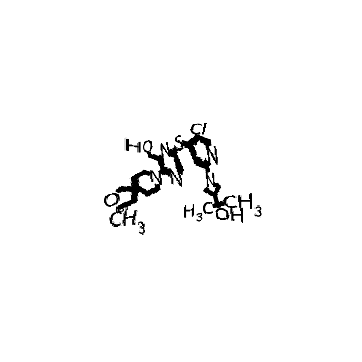 C[C@H]1CC2(CCN(c3ncc(Sc4cc(N5CC(C(C)(C)O)C5)ncc4Cl)nc3CO)CC2)CO1